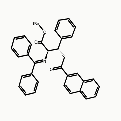 CC(C)(C)OC(=O)[C@H](N=C(c1ccccc1)c1ccccc1)[C@@H](CC(=O)c1ccc2ccccc2c1)c1ccccc1